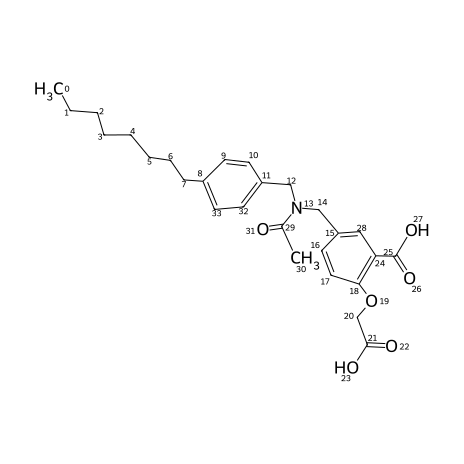 CCCCCCCCc1ccc(CN(Cc2ccc(OCC(=O)O)c(C(=O)O)c2)C(C)=O)cc1